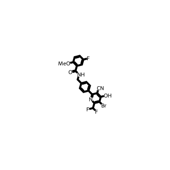 COc1ccc(F)cc1C(=O)NCc1ccc(-c2nc(C(F)F)c(Br)c(O)c2C#N)cc1